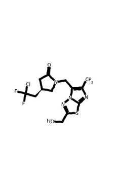 O=C1C[C@H](CC(F)(F)Cl)CN1Cc1c(C(F)(F)F)nc2sc(CO)nn12